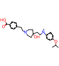 CC(C)Oc1ccc(N(C)CCC2(O)CCN(CCc3ccc(C(=O)O)cc3)CC2)cc1